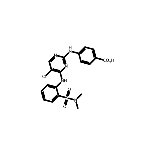 CN(C)S(=O)(=O)c1ccccc1Nc1nc(Nc2ccc(C(=O)O)cc2)ncc1Cl